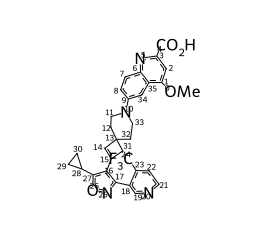 COc1cc(C(=O)O)nc2ccc(N3CCC4(C=C(c5c(-c6cnccc6C(F)(F)F)noc5C5CC5)C4)CC3)cc12